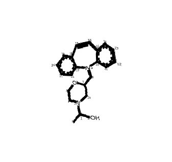 CC(O)N1CCOC(CN2c3ccccc3C=Cc3ccccc32)C1